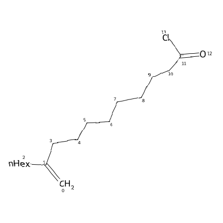 C=C(CCCCCC)CCCCCCCCC(=O)Cl